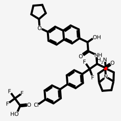 NC1CC2CCC(C1)N2C(=O)C(NC(=O)C(O)c1ccc2cc(OC3CCCC3)ccc2c1)C(F)(F)c1ccc(-c2ccc(Cl)cc2)cc1.O=C(O)C(F)(F)F